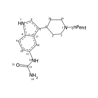 CCCCCN1CCC(c2c[nH]c3ccc(NC(N)=O)cc23)CC1